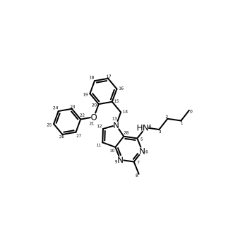 CCCCNc1nc(C)nc2ccn(Cc3ccccc3Oc3ccccc3)c12